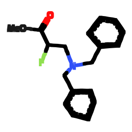 COC(=O)C(F)CN(Cc1ccccc1)Cc1ccccc1